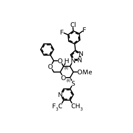 COC1C(n2cc(-c3cc(F)c(Cl)c(F)c3)nn2)[C@H]2OC(c3ccccc3)OCC2O[C@@H]1Sc1cnc(C(F)(F)F)c(C)c1